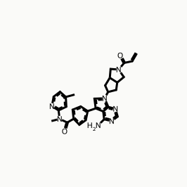 C=CC(=O)N1CC2CC(n3cc(-c4ccc(C(=O)N(C)c5cc(C)ccn5)cc4)c4c(N)ncnc43)CC2C1